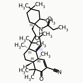 CCC(=O)N[C@]1(CCC(C)(C)[C@]2(C)CC[C@H]3C(C)(C)C(=O)C(C#N)=C[C@]3(C)/C2=C/C(C)=O)CCC(C)(C)CC1C